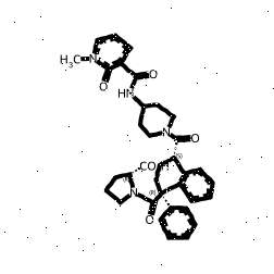 Cn1cccc(C(=O)NC2CCN(C(=O)[C@H]3CC[C@@](C(=O)N4CCC[C@@H]4C(=O)O)(c4ccccc4)c4ccccc43)CC2)c1=O